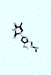 CPOC[C@H]1O[C@@H](n2cc(C)c(=O)[nH]c2=O)C[C@H]1N